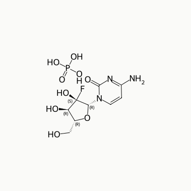 Nc1ccn([C@@H]2O[C@H](CO)[C@@H](O)[C@]2(O)F)c(=O)n1.O=P(O)(O)O